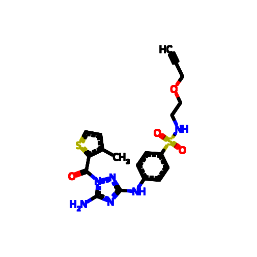 C#CCOCCNS(=O)(=O)c1ccc(Nc2nc(N)n(C(=O)c3sccc3C)n2)cc1